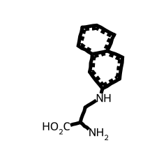 NC(CNc1ccc2ccccc2c1)C(=O)O